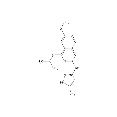 COc1ccc2cc(Nc3cc(C)[nH]n3)nc(OC(C)C)c2c1